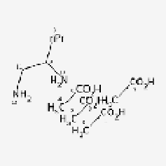 CC(=O)O.CC(=O)O.CC(=O)O.CC(=O)O.CCCC(N)CN